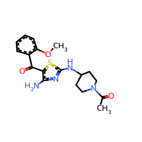 COc1ccccc1C(=O)c1sc(NC2CCN(C(C)=O)CC2)nc1N